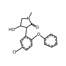 CN1CC(O)C(c2cc(Cl)ccc2Oc2ccccc2)C1=O